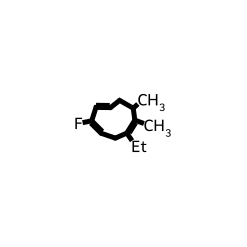 CC/C1=C(\C)C(C)C/C=C/C(F)=C\C1